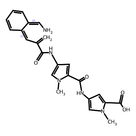 C=C(/C=c1/cccc/c1=C/N)C(=O)Nc1cc(C(=O)Nc2cc(C(=O)O)n(C)c2)n(C)c1